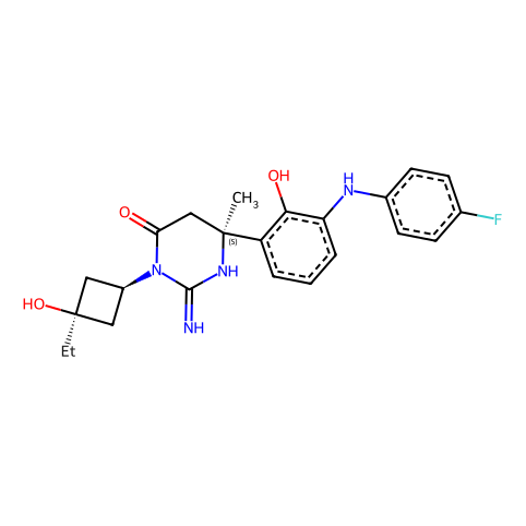 CC[C@]1(O)C[C@@H](N2C(=N)N[C@](C)(c3cccc(Nc4ccc(F)cc4)c3O)CC2=O)C1